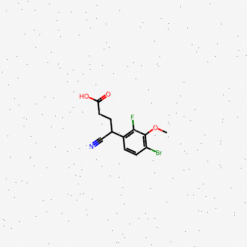 COc1c(Br)ccc(C(C#N)CCC(=O)O)c1F